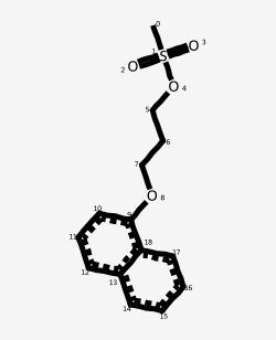 CS(=O)(=O)OCCCOc1cccc2ccccc12